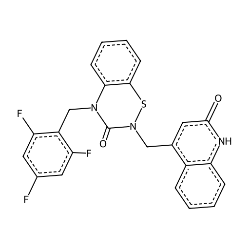 O=C1N(Cc2cc(=O)[nH]c3ccccc23)Sc2ccccc2N1Cc1c(F)cc(F)cc1F